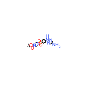 CC(C)(C)OC(=O)N1CCN(S(=O)(=O)c2ccc(Nc3ncc(N)cn3)cc2)CC1